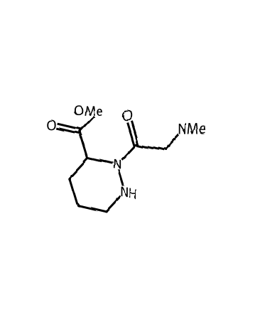 CNCC(=O)N1NCCCC1C(=O)OC